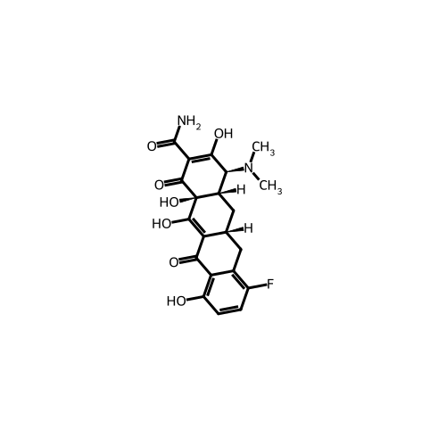 CN(C)[C@@H]1C(O)=C(C(N)=O)C(=O)[C@@]2(O)C(O)=C3C(=O)c4c(O)ccc(F)c4C[C@H]3C[C@@H]12